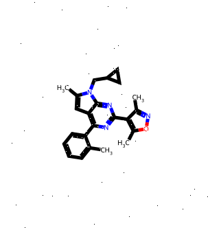 Cc1ccccc1-c1nc(-c2c(C)noc2C)nc2c1cc(C)n2CC1CC1